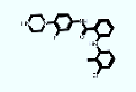 Cc1c(Cl)cccc1Nc1ccccc1C(=O)Nc1ccc(N2CCNCC2)c(F)c1